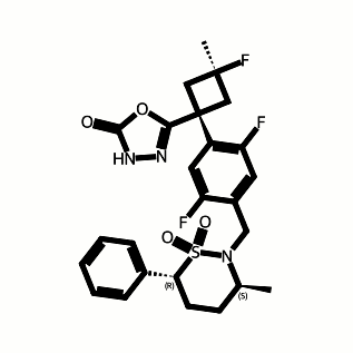 C[C@H]1CC[C@H](c2ccccc2)S(=O)(=O)N1Cc1cc(F)c([C@]2(c3n[nH]c(=O)o3)C[C@](C)(F)C2)cc1F